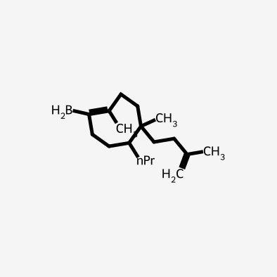 B/C1=C(/C)CCC(C)(CCC(=C)C)C(CCC)CC1